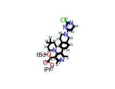 Cc1nc(C)c(C(OC(C)(C)C)C(=O)OC(C)C)c(N2CCC(C)(C)CC2)c1-c1ccc2c(c1)CCN(c1ccnc(Cl)n1)C2